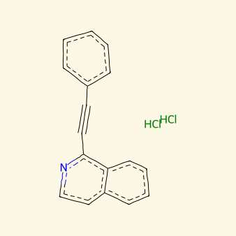 C(#Cc1nccc2ccccc12)c1ccccc1.Cl.Cl